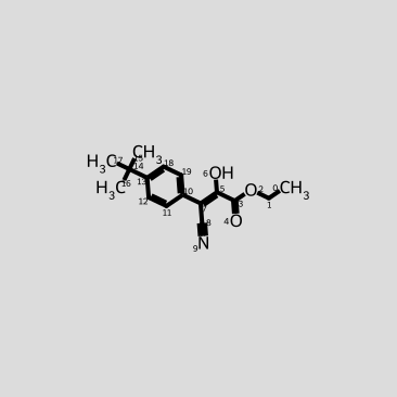 CCOC(=O)C(O)=C(C#N)c1ccc(C(C)(C)C)cc1